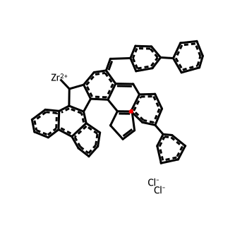 [Cl-].[Cl-].[Zr+2][CH]1c2cc(=Cc3ccc(-c4ccccc4)cc3)c(=Cc3ccc(-c4ccccc4)cc3)c(C3=CC=CC3)c2-c2c1c1ccccc1c1ccccc21